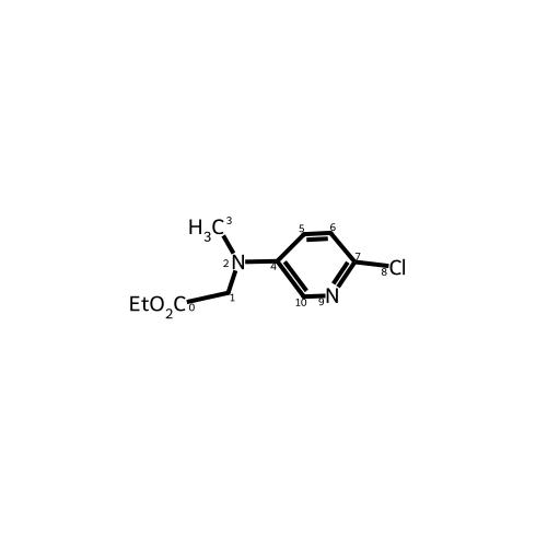 CCOC(=O)CN(C)c1ccc(Cl)nc1